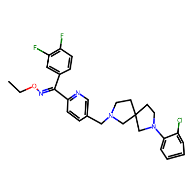 CCO/N=C(\c1ccc(F)c(F)c1)c1ccc(CN2CCC3(CCN(c4ccccc4Cl)C3)C2)cn1